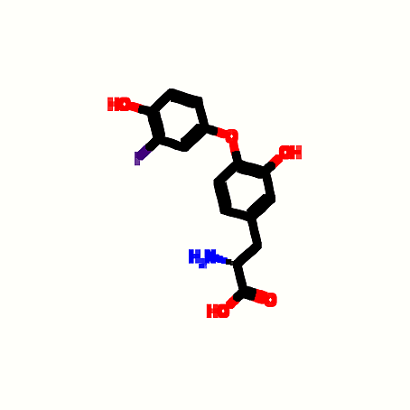 N[C@H](Cc1ccc(Oc2ccc(O)c(I)c2)c(O)c1)C(=O)O